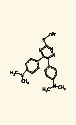 CCCSc1nnc(-c2ccc(N(C)C)cc2)c(-c2ccc(N(C)C)cc2)n1